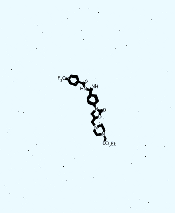 CCOC(=O)CN1CCN(CC2CN(c3ccc(C(=N)NC(=O)c4ccc(C(F)(F)F)cc4)cc3)C(=O)O2)CC1